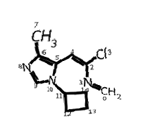 C=N/C(Cl)=C\c1c(C)ncn1C1CCC1